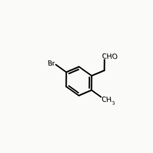 Cc1ccc(Br)cc1CC=O